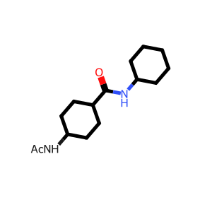 CC(=O)NC1CCC(C(=O)NC2CCCCC2)CC1